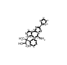 CC(c1ccccc1)(C(O)O)n1ncc2c1nc(N)n1nc(-c3nccs3)nc21